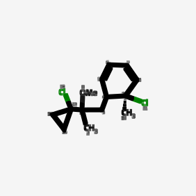 COC(C)(CC1C=CC=C[C@@]1(C)Cl)C1(Cl)CC1